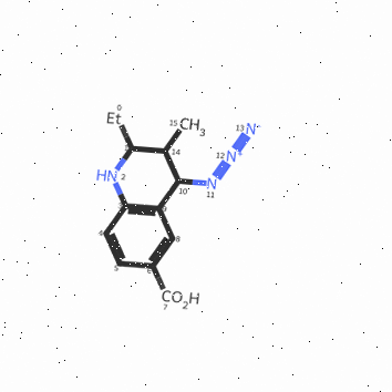 CCC1Nc2ccc(C(=O)O)cc2C(N=[N+]=[N-])C1C